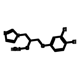 CCCCCCCCOC(COc1ccc(Cl)c(Cl)c1)Cn1ccnc1